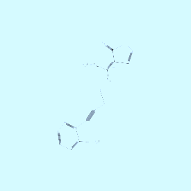 CN/C(NCCC#Cc1ccccc1OC)=C1/C=CSC1=N